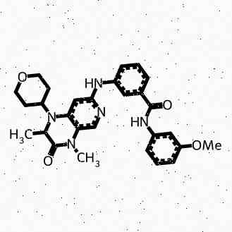 COc1cccc(NC(=O)c2cccc(Nc3cc4c(cn3)N(C)C(=O)C(C)N4C3CCOCC3)c2)c1